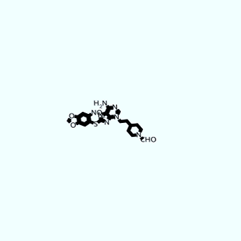 Nc1ncn(CCC2CCN(C=O)CC2)c2nc(Sc3cc4c(cc3[N+](=O)[O-])OCO4)nc1-2